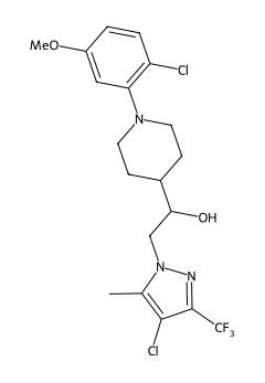 COc1ccc(Cl)c(N2CCC(C(O)Cn3nc(C(F)(F)F)c(Cl)c3C)CC2)c1